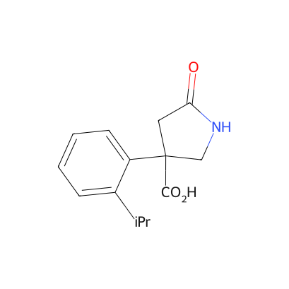 CC(C)c1ccccc1C1(C(=O)O)CNC(=O)C1